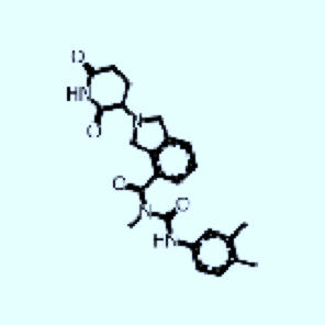 Cc1ccc(NC(=O)N(C)C(=O)c2cccc3c2CN(C2CCC(=O)NC2=O)C3)cc1C